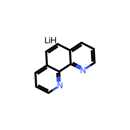 [LiH].c1cnc2c(c1)ccc1cccnc12